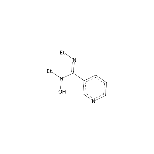 CCN=C(c1cccnc1)N(O)CC